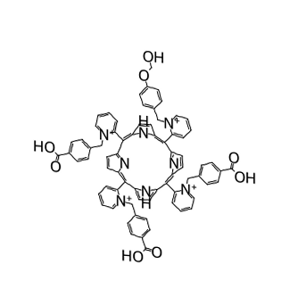 O=C(O)c1ccc(C[n+]2ccccc2-c2c3nc(c(-c4cccc[n+]4Cc4ccc(C(=O)O)cc4)c4ccc([nH]4)c(-c4cccc[n+]4Cc4ccc(C(=O)O)cc4)c4nc(c(-c5cccc[n+]5Cc5ccc(OCO)cc5)c5ccc2[nH]5)C=C4)C=C3)cc1